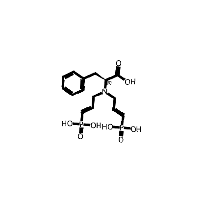 O=C(O)[C@H](Cc1ccccc1)N(CC=CP(=O)(O)O)CC=CP(=O)(O)O